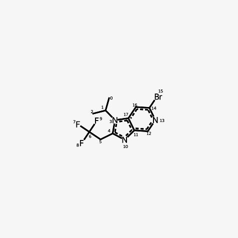 CC(C)n1c(CC(F)(F)F)nc2cnc(Br)cc21